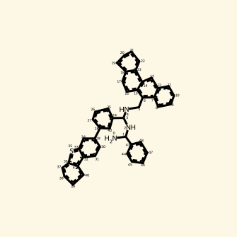 NC(NC(NCc1c2ccccc2cc2c1ccc1ccccc12)c1cccc(-c2ccc3c(c2)sc2ccccc23)c1)c1ccccc1